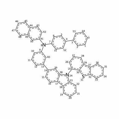 c1ccc(-c2ccc(N(c3cccc(-c4ccc5c6ccccc6n(-c6cccc7c6sc6ccccc67)c5c4)c3)c3ccc4ccccc4c3)cc2)cc1